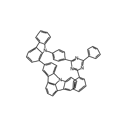 c1ccc(-c2nc(-c3ccccc3)nc(-c3ccc(-n4c5ccccc5c5cccc(-c6ccc7c(c6)c6cccc8c9ccccc9n7c86)c54)cc3)n2)cc1